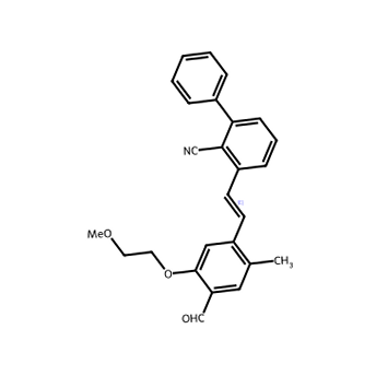 COCCOc1cc(/C=C/c2cccc(-c3ccccc3)c2C#N)c(C)cc1C=O